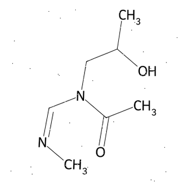 C/N=C\N(CC(C)O)C(C)=O